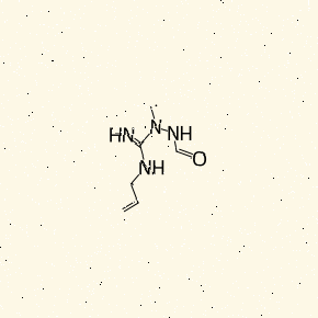 [CH2]N(NC=O)C(=N)NCC=C